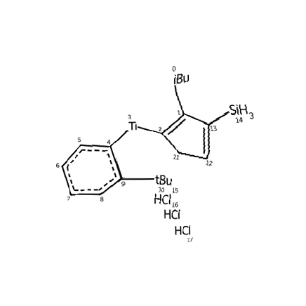 CCC(C)C1=[C]([Ti][c]2ccccc2C(C)(C)C)CC=C1[SiH3].Cl.Cl.Cl